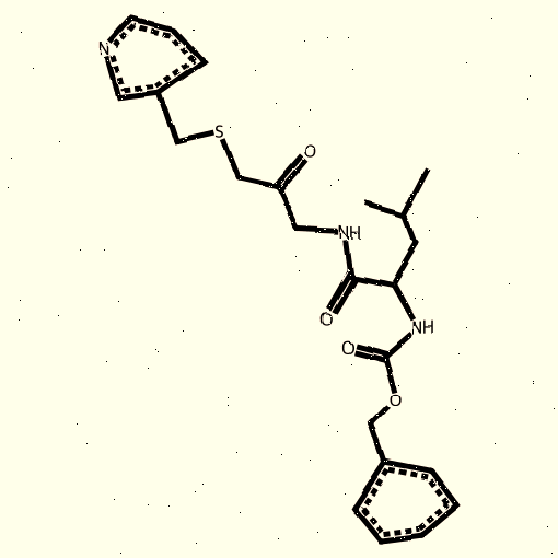 CC(C)CC(NC(=O)OCc1ccccc1)C(=O)NCC(=O)CSCc1cccnc1